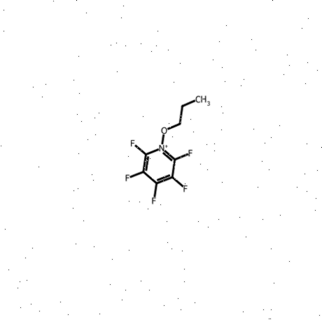 CCCO[n+]1c(F)c(F)c(F)c(F)c1F